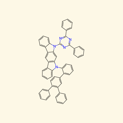 c1ccc(-c2nc(-c3ccccc3)nc(-n3c4ccccc4c4cc5c6ccccc6n(-c6ccccc6-c6ccc(-c7ccccc7)c(-c7ccccc7)c6)c5cc43)n2)cc1